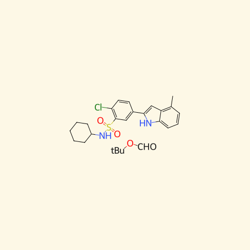 CC(C)(C)OC=O.Cc1cccc2[nH]c(-c3ccc(Cl)c(S(=O)(=O)NC4CCCCC4)c3)cc12